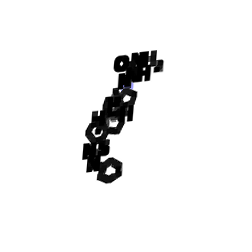 CN(c1ccccc1)c1nc2c(s1)C1=CC[C@@H]3[C@H](CC[C@]4(C)/C(=N/NC(N)=O)CC[C@@H]34)[C@@]1(C)CC2